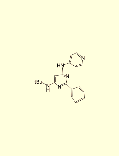 CC(C)(C)Nc1cc(Nc2ccncc2)nc(-c2ccccc2)n1